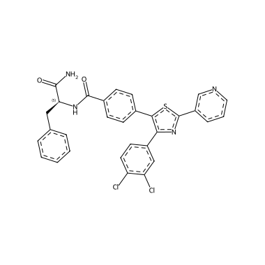 NC(=O)[C@H](Cc1ccccc1)NC(=O)c1ccc(-c2sc(-c3cccnc3)nc2-c2ccc(Cl)c(Cl)c2)cc1